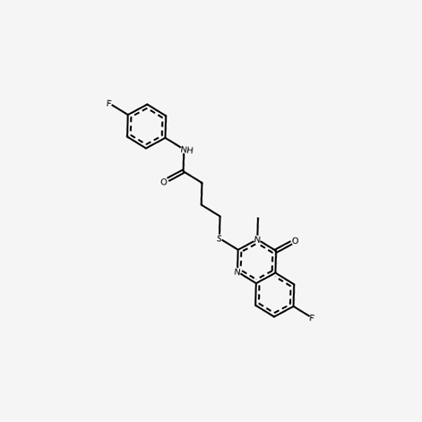 Cn1c(SCCCC(=O)Nc2ccc(F)cc2)nc2ccc(F)cc2c1=O